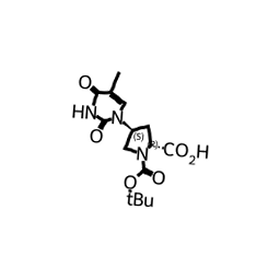 Cc1cn([C@H]2C[C@H](C(=O)O)N(C(=O)OC(C)(C)C)C2)c(=O)[nH]c1=O